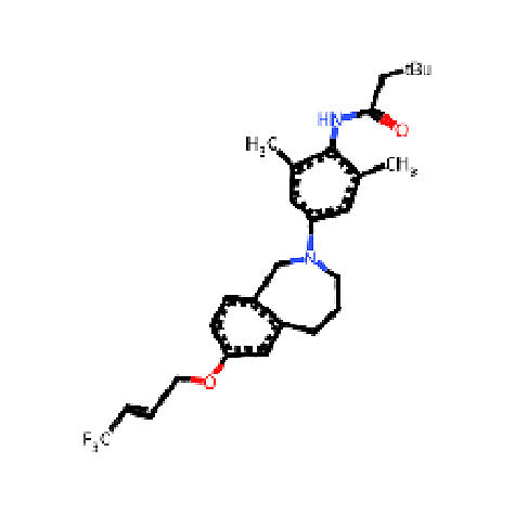 Cc1cc(N2CCCc3cc(OCC=CC(F)(F)F)ccc3C2)cc(C)c1NC(=O)CC(C)(C)C